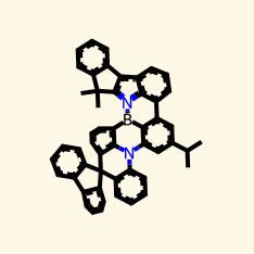 CC(C)c1cc2c3c(c1)N1c4ccccc4C4(c5ccccc5-c5ccccc54)c4cccc(c41)B3n1c3c(c4cccc-2c41)-c1ccccc1C3(C)C